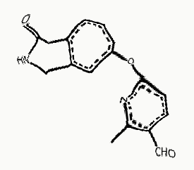 Cc1nc(Oc2ccc3c(c2)CNC3=O)ccc1C=O